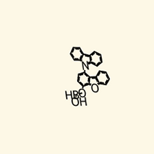 OBOc1ccc(-n2c3ccccc3c3ccccc32)c2c1oc1ccccc12